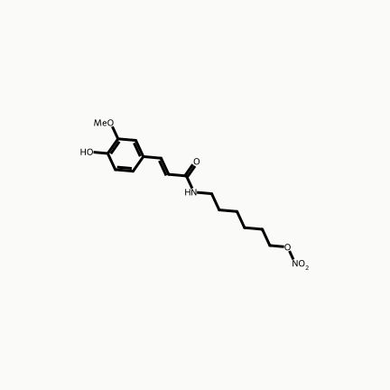 COc1cc(/C=C/C(=O)NCCCCCCO[N+](=O)[O-])ccc1O